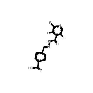 O=C(O)c1ccc(C=NNC(=O)c2c(F)cnc(F)c2F)cc1